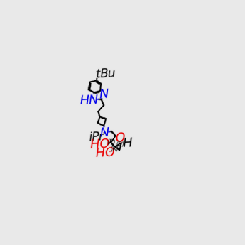 CC(C)N(CC1O[C@H]2C[C@@]2(O)[C@@H]1O)C1CC(CCc2nc3cc(C(C)(C)C)ccc3[nH]2)C1